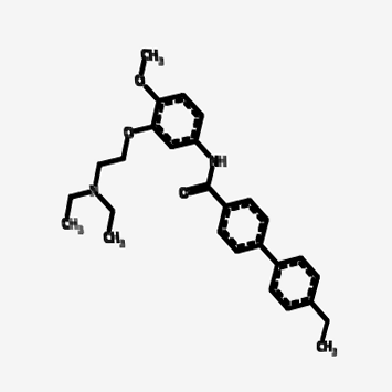 CCc1ccc(-c2ccc(C(=O)Nc3ccc(OC)c(OCCN(CC)CC)c3)cc2)cc1